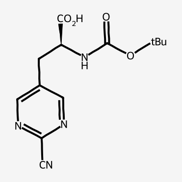 CC(C)(C)OC(=O)N[C@@H](Cc1cnc(C#N)nc1)C(=O)O